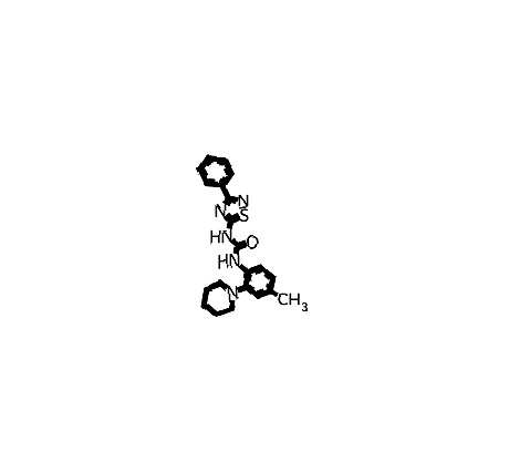 Cc1ccc(NC(=O)Nc2nc(-c3ccccc3)ns2)c(N2CCCCC2)c1